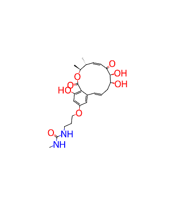 CNC(=O)NCCCOc1cc(O)c2c(c1)/C=C/C[C@H](O)[C@H](O)C(=O)/C=C\[C@@H](C)[C@H](C)OC2=O